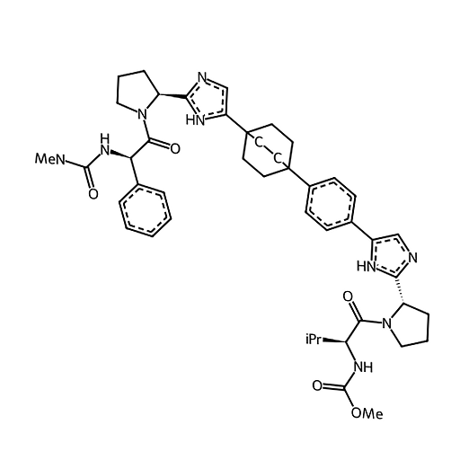 CNC(=O)N[C@@H](C(=O)N1CCC[C@H]1c1ncc(C23CCC(c4ccc(-c5cnc([C@@H]6CCCN6C(=O)[C@@H](NC(=O)OC)C(C)C)[nH]5)cc4)(CC2)CC3)[nH]1)c1ccccc1